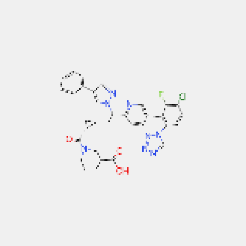 O=C(O)C1CCCN(C(=O)[C@@H]2C[C@@H]2CC(c2ccc(-c3c(-n4cnnn4)ccc(Cl)c3F)cn2)n2cc(-c3ccccc3)cn2)C1